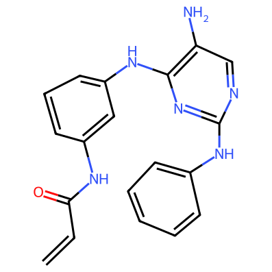 C=CC(=O)Nc1cccc(Nc2nc(Nc3ccccc3)ncc2N)c1